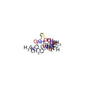 COc1c(CN2O[C@@H](CO)C(C(C)O)[C@H]2C(=O)N[C@H]2C[C@H]3C[C@@H]([C@@H]2C)C3(C)C)cccc1-c1cc(C(=O)NCCc2cccs2)cc(N(C)C)c1